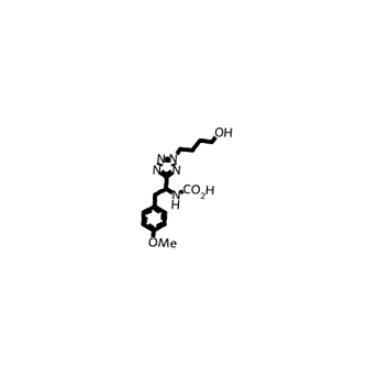 COc1ccc(CC(NC(=O)O)c2nnn(CCCCO)n2)cc1